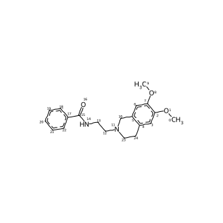 COc1cc2c(cc1OC)CN(CCNC(=O)c1[c]cccc1)CC2